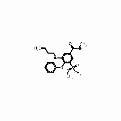 CCCCNc1cc(C(=O)NC)cc(S(C)(=O)=NC)c1Oc1ccccc1